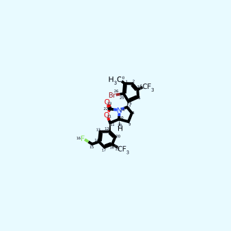 Cc1cc(C(F)(F)F)cc([C@@H]2CC[C@H]3[C@@H](c4cc(CF)cc(C(F)(F)F)c4)OC(=O)N23)c1Br